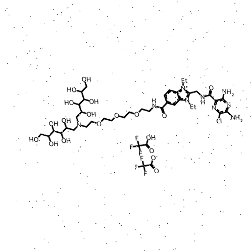 CCn1c(CNC(=O)c2nc(Cl)c(N)nc2N)[n+](CC)c2ccc(C(=O)NCCOCCOCCOCCN(CC(O)C(O)C(O)C(O)CO)CC(O)C(O)C(O)C(O)CO)cc21.O=C(O)C(F)(F)F.O=C([O-])C(F)(F)F